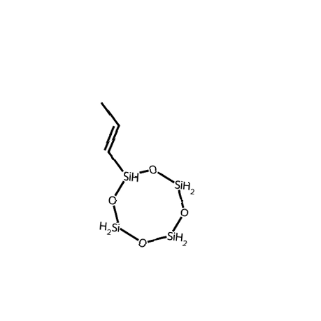 CC=C[SiH]1O[SiH2]O[SiH2]O[SiH2]O1